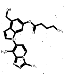 CCCCC(=O)Oc1cc(CO)c2c(c1)[SH](c1ccn3c(C)nnc3c1C)C=C2